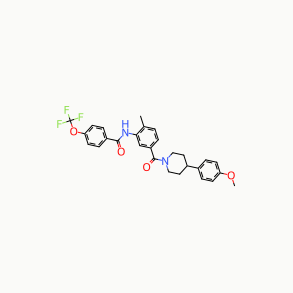 COc1ccc(C2CCN(C(=O)c3ccc(C)c(NC(=O)c4ccc(OC(F)(F)F)cc4)c3)CC2)cc1